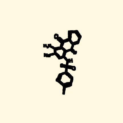 Cc1ccc(S(=O)(=O)Nc2c[c]([Na])c(N)c3c2C(=O)c2ccccc2C3=O)cc1